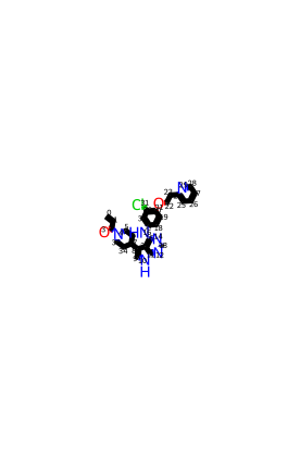 C=CC(=O)N1CCC(c2c[nH]c3ncnc(Nc4ccc(OCCc5ccccn5)c(Cl)c4)c23)CC1